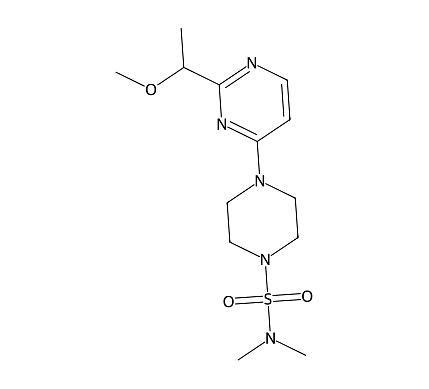 COC(C)c1nccc(N2CCN(S(=O)(=O)N(C)C)CC2)n1